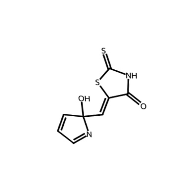 O=C1NC(=S)SC1=CC1(O)C=CC=N1